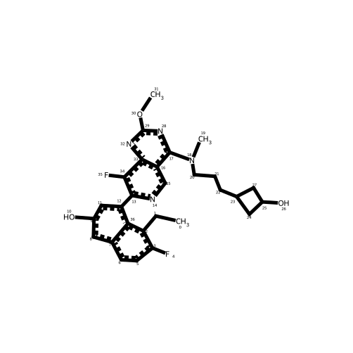 CCc1c(F)ccc2cc(O)cc(-c3ncc4c(N(C)CCCC5CC(O)C5)nc(OC)nc4c3F)c12